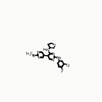 COc1ncc(-c2cnc(Nc3ccc(F)c(Cl)c3)nc2NC2CCOC2)cn1